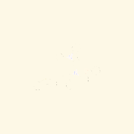 c1ccc(-n2c3ccccc3c3ccc(N(c4ccc(-c5ccc6c(c5)sc5ccccc56)c5ccccc45)c4cccc5c4oc4ccccc45)cc32)cc1